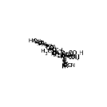 Cc1c(COc2cc(OCc3cncc(C#N)c3)c(CN[C@@](C)(CO)C(=O)O)cc2Cl)cccc1-c1cccc(OCCCN2CCC(CO)CC2)c1C